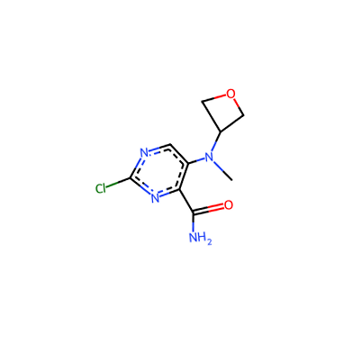 CN(c1cnc(Cl)nc1C(N)=O)C1COC1